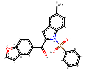 COc1ccc2c(c1)cc(C(=O)c1ccc3occc3c1)n2S(=O)(=O)c1ccccc1